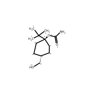 CC(C)(C)[C@]1(OC(N)=O)CC[C@H](CO)CC1